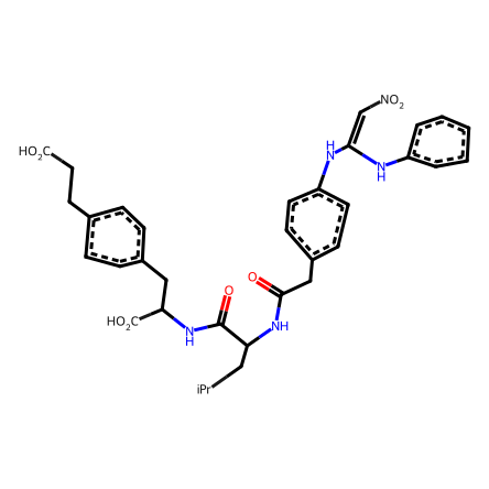 CC(C)CC(NC(=O)Cc1ccc(NC(=C[N+](=O)[O-])Nc2ccccc2)cc1)C(=O)NC(Cc1ccc(CCC(=O)O)cc1)C(=O)O